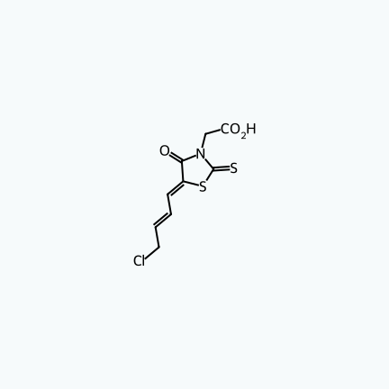 O=C(O)CN1C(=O)C(=CC=CCCl)SC1=S